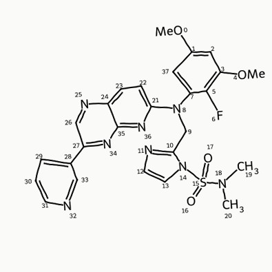 COc1cc(OC)c(F)c(N(Cc2nccn2S(=O)(=O)N(C)C)c2ccc3ncc(-c4cccnc4)nc3n2)c1